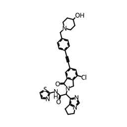 O=C(Nc1nccs1)C(c1ncn2c1CCC2)N1Cc2c(Cl)cc(C#Cc3ccc(CN4CCC(O)CC4)cc3)cc2C1=O